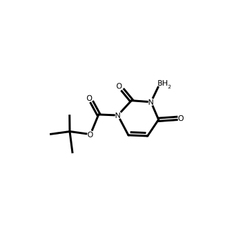 Bn1c(=O)ccn(C(=O)OC(C)(C)C)c1=O